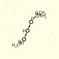 C=CC(=O)Oc1ccc(C#Cc2ccc(C#Cc3ccc(OCCOC(=O)C(=C)C)cc3)cc2F)cc1